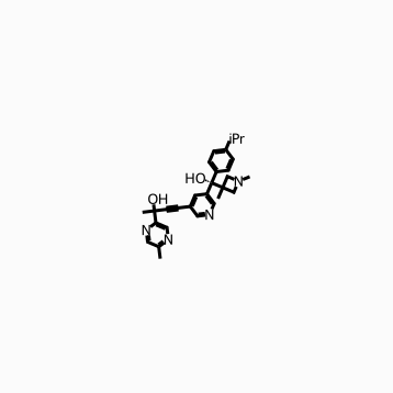 Cc1cnc(C(C)(O)C#Cc2cncc([C@@](O)(c3ccc(C(C)C)cc3)C3(C)CN(C)C3)c2)cn1